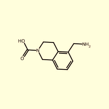 NCc1cccc2c1CCN(C(=O)O)C2